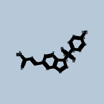 O=C(O)C=Cc1cnc2c(ccn2S(=O)(=O)c2ccc(Cl)cc2)c1